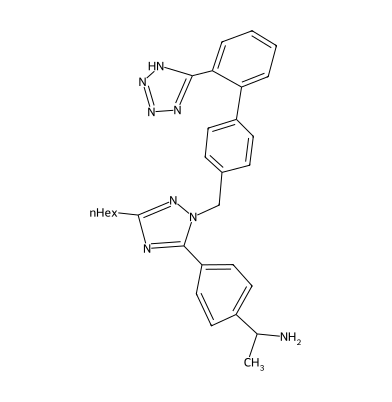 CCCCCCc1nc(-c2ccc(C(C)N)cc2)n(Cc2ccc(-c3ccccc3-c3nnn[nH]3)cc2)n1